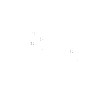 N=C(N)NC(=O)[CH]CCCc1cscn1